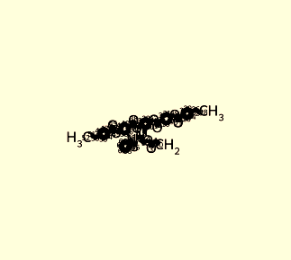 C=CC(=O)OCN(/N=C/c1cc(OC(=O)C2CCC(OC(=O)c3ccc(CCC)cc3)CC2)ccc1OC(=O)C1CCC(OC(=O)c2ccc(CCC)cc2)CC1)c1nc2ccccc2s1